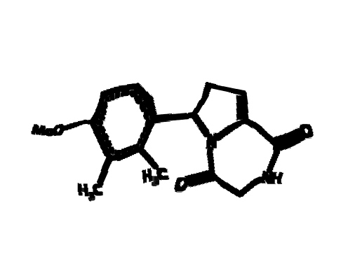 COc1ccc(C2CC=C3C(=O)NCC(=O)N32)c(C)c1C